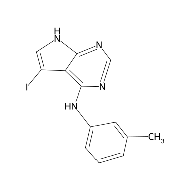 Cc1cccc(Nc2ncnc3[nH]cc(I)c23)c1